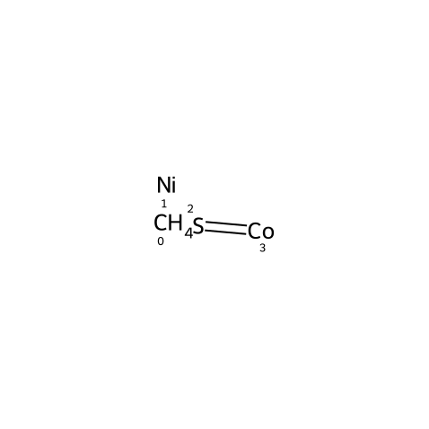 C.[Ni].[S]=[Co]